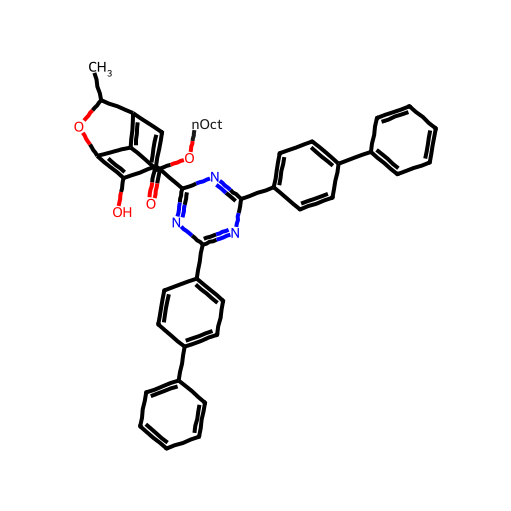 CCCCCCCCOC(=O)c1c2cc(-c3nc(-c4ccc(-c5ccccc5)cc4)nc(-c4ccc(-c5ccccc5)cc4)n3)c(O)c1OC2C